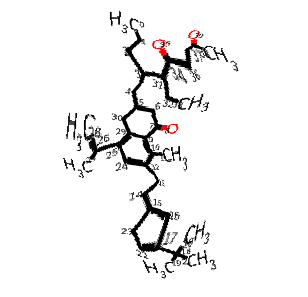 CCCC(CC1CC(=O)c2c(C)c(CCC3=CC(C(C)(C)C)=CC3)cc(C(C)C)c2C1)C(CC)C(=O)CC(C)=O